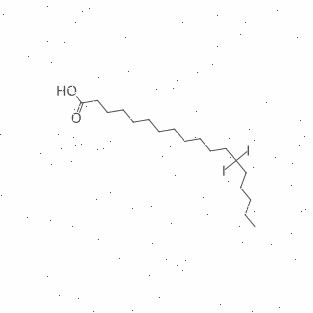 CCCCCC(I)(I)CCCCCCCCCCCC(=O)O